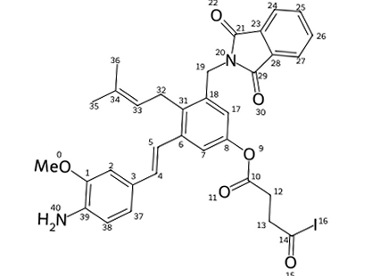 COc1cc(/C=C/c2cc(OC(=O)CCC(=O)I)cc(CN3C(=O)c4ccccc4C3=O)c2CC=C(C)C)ccc1N